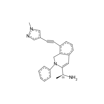 C[C@H](N)C1=Cc2cccc(C#Cc3cnn(C)c3)c2CN1c1ccccc1